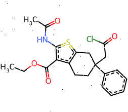 CCOC(=O)c1c(NC(C)=O)sc2c1CCC(CC(=O)Cl)(c1ccccc1)C2